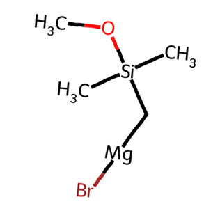 CO[Si](C)(C)[CH2][Mg][Br]